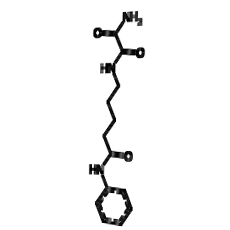 NC(=O)C(=O)NCCCCC(=O)Nc1ccccc1